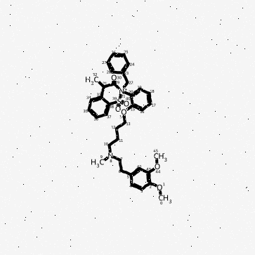 COc1ccc(CCN(C)CCCCOc2ccccc2[N+]2(Cc3ccccc3)C(=O)C(C)c3ccccc3S2(=O)=O)cc1OC